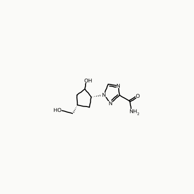 NC(=O)c1ncn([C@@H]2C[C@H](CO)CC2O)n1